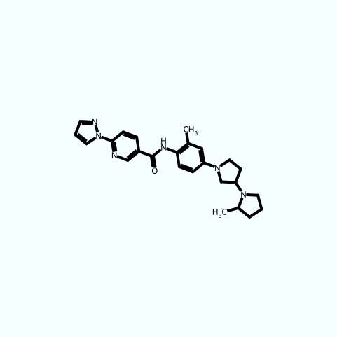 Cc1cc(N2CCC(N3CCCC3C)C2)ccc1NC(=O)c1ccc(-n2cccn2)nc1